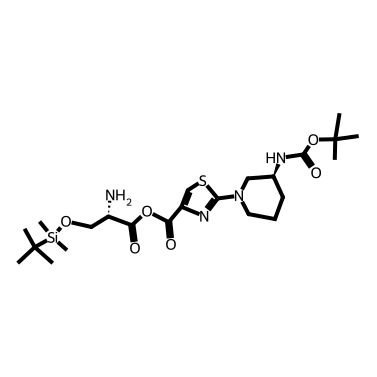 CC(C)(C)OC(=O)N[C@H]1CCCN(c2nc(C(=O)OC(=O)[C@@H](N)CO[Si](C)(C)C(C)(C)C)cs2)C1